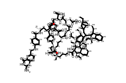 CC[C@]1(O)C[C@H]2C[C@](C(=O)OC)(c3cc4c(cc3OC)N(C)[C@H]3[C@@](O)(C(=O)NCCC[Si](C)(C)O[Si](C)(C)CSc5ncc(Cn6cc(C[C@H](NC(=O)[C@H](CC(=O)O)NC(=O)[C@H](CC(=O)O)NC(=O)[C@H](CCCNC(=N)N)NC(=O)[C@H](CC(=O)O)NC(=O)CC[C@@H](C)NC(=O)c7ccc(NCc8cnc9nc(N)[nH]c(=O)c9n8)cc7)C(=O)O)nn6)cn5)[C@H](O)[C@]5(CC)C=CCN6CC[C@]43[C@@H]65)c3[nH]c4ccccc4c3CC[N@@](C1)[C@@H]2C